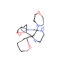 C1CCC(C2(C3CCCO3)[N]CCNC2(N2CCC2)N2CCOCC2)OC1